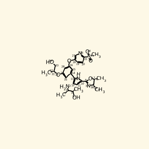 C[C@@H](N)[C@@H](C)O.C[C@@H]1OC(c2ccc(-c3cc(Oc4ccc(S(C)(=O)=O)nc4)cc(O[C@@H](C)CO)c3)[nH]2)=N[C@@H]1C